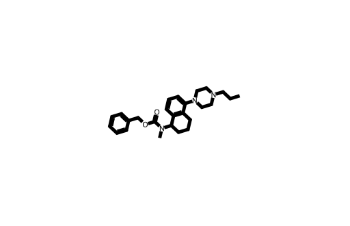 CCCN1CCN(c2cccc3c2CCCC3N(C)C(=O)OCc2ccccc2)CC1